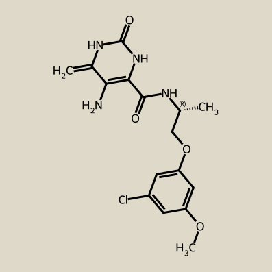 C=C1NC(=O)NC(C(=O)N[C@H](C)COc2cc(Cl)cc(OC)c2)=C1N